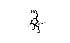 OCC1OC(O)C(O)(CCl)[C@H]1O